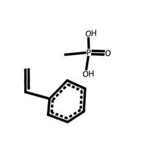 C=Cc1ccccc1.CP(=O)(O)O